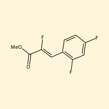 COC(=O)C(F)=Cc1ccc(F)cc1F